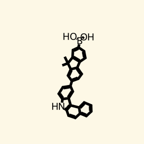 CC1(C)c2cc(B(O)O)ccc2-c2ccc(-c3ccc4[nH]c5ccc6ccccc6c5c4c3)cc21